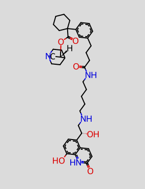 O=C(CCCc1cccc(C2(C(=O)O[C@H]3CN4CCC3CC4)CCCCC2)c1)NCCCCCNC[C@H](O)c1ccc(O)c2[nH]c(=O)ccc12